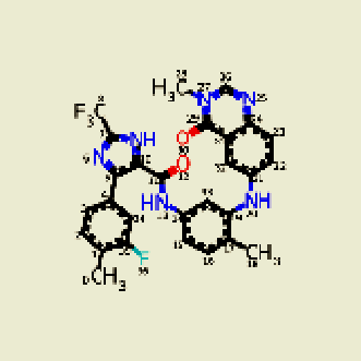 Cc1ccc(-c2nc(C(F)(F)F)[nH]c2C(=O)Nc2ccc(C)c(Nc3ccc4ncn(C)c(=O)c4c3)c2)cc1F